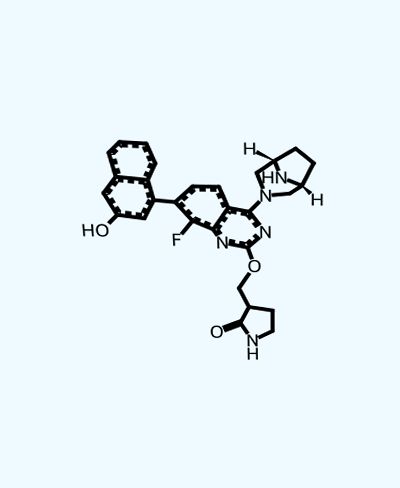 O=C1NCCC1COc1nc(N2C[C@H]3CC[C@@H](C2)N3)c2ccc(-c3cc(O)cc4ccccc34)c(F)c2n1